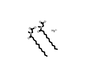 CCCCCCCCCCCC(=O)N(C)CC(=O)[O-].CCCCCCCCCCCC(=O)N(C)CC(=O)[O-].[Hg+2]